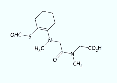 CN(CC(=O)O)C(=O)CN(C)C1=C(SC=O)CCCC1